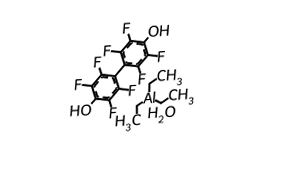 C[CH2][Al]([CH2]C)[CH2]C.O.Oc1c(F)c(F)c(-c2c(F)c(F)c(O)c(F)c2F)c(F)c1F